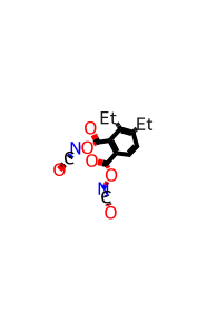 CCc1ccc(C(=O)ON=C=O)c(C(=O)ON=C=O)c1CC